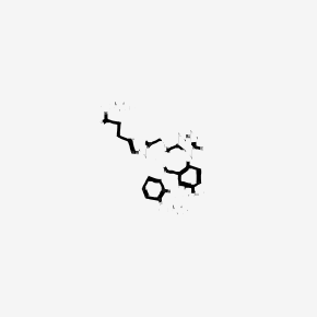 COC(=O)CCc1cnc(C[C@@H]2O[C@@H](c3cccc(OC)c3OC)c3cc(Cl)ccc3-n3c2nnc3C(F)(F)F)o1